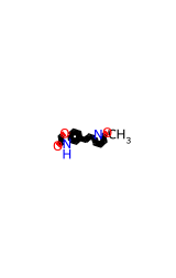 COc1cccc(/C=C/c2ccc3c(c2)NC(=O)CO3)n1